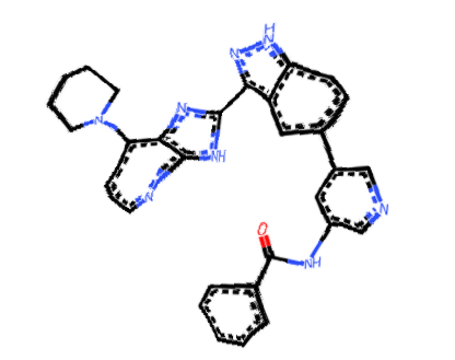 O=C(Nc1cncc(-c2ccc3[nH]nc(-c4nc5c(N6CCCCC6)ccnc5[nH]4)c3c2)c1)c1ccccc1